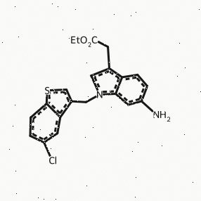 CCOC(=O)Cc1cn(Cc2csc3ccc(Cl)cc23)c2cc(N)ccc12